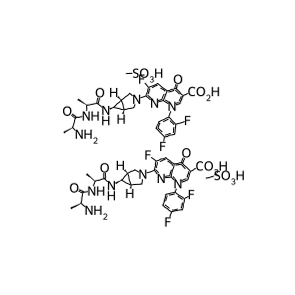 CS(=O)(=O)O.CS(=O)(=O)O.C[C@H](N)C(=O)N[C@@H](C)C(=O)N[C@H]1[C@@H]2CN(c3nc4c(cc3F)c(=O)c(C(=O)O)cn4-c3ccc(F)cc3F)C[C@@H]21.C[C@H](N)C(=O)N[C@@H](C)C(=O)N[C@H]1[C@@H]2CN(c3nc4c(cc3F)c(=O)c(C(=O)O)cn4-c3ccc(F)cc3F)C[C@@H]21